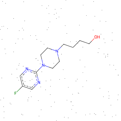 OCCCCN1CCN(c2ncc(F)cn2)CC1